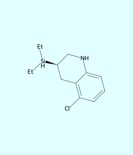 CC[SiH](CC)[C@H]1CNc2cccc(Cl)c2C1